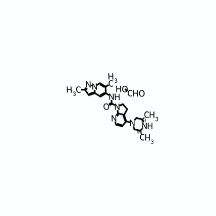 Cc1cc2cc(NC(=O)N3CCc4c(N5C[C@@H](C)N[C@@H](C)C5)ccnc43)c(C)cn2n1.O=CO